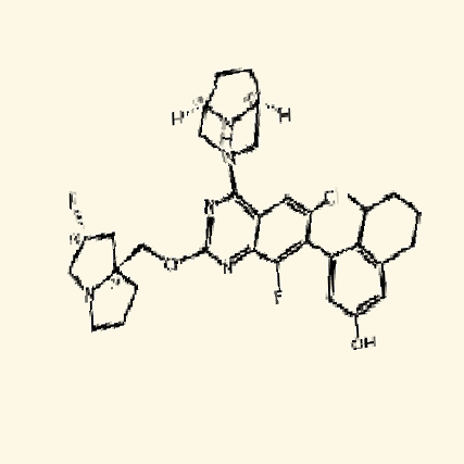 CC1CCCc2cc(O)cc(-c3c(Cl)cc4c(N5C[C@H]6CC[C@@H](C5)N6)nc(OC[C@@]56CCCN5C[C@H](F)C6)nc4c3F)c21